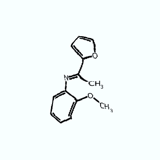 COc1ccccc1N=C(C)c1ccco1